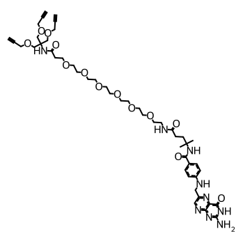 C#CCOCC(COCC#C)(COCC#C)NC(=O)CCOCCOCCOCCOCCOCCOCCNC(=O)CCC(C)(C)NC(=O)c1ccc(NCc2cnc3nc(N)[nH]c(=O)c3n2)cc1